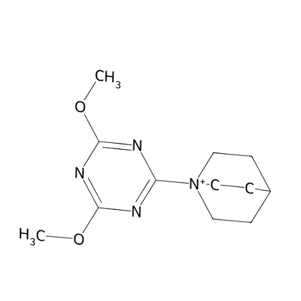 COc1nc(OC)nc([N+]23CCC(CC2)CC3)n1